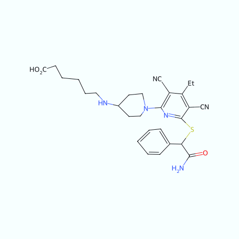 CCc1c(C#N)c(SC(C(N)=O)c2ccccc2)nc(N2CCC(NCCCCCC(=O)O)CC2)c1C#N